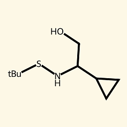 CC(C)(C)SNC(CO)C1CC1